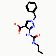 CCCNC(=O)Nc1nn(Cc2ccccc2)cc1C(=O)O